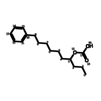 CCCC(CCCCCCc1ccccc1)OC(=O)O